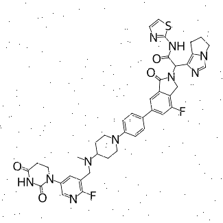 CN(Cc1cc(N2CCC(=O)NC2=O)cnc1F)C1CCN(c2ccc(-c3cc(F)c4c(c3)C(=O)N(C(C(=O)Nc3nccs3)c3ncn5c3CCC5)C4)cc2)CC1